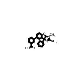 CN1C(=O)C(c2ccccc2)(c2cccc(-c3cccc(C(=O)O)c3)c2)N=C1N